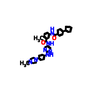 Cc1ccc(NC(=O)c2ccc(-c3ccccc3)cc2)cc1C(=O)Nc1cnc(Nc2ccc(N3CCN(C)CC3)cc2)nc1